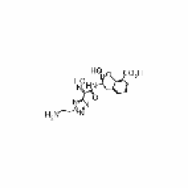 NCCn1nnc(C(=NO)C(=O)NC2Cc3cccc(C(=O)O)c3OB2O)n1